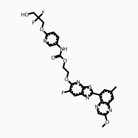 COc1cnc2c(-c3nc4cc(F)c(OCCOC(=O)Nc5ccc(OCC(F)(F)CO)nc5)nc4s3)cc(C)cc2n1